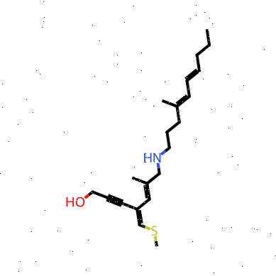 CCCC=C/C=C(\C)CCCNC/C(C)=C/C(C#CCO)=C\SC